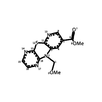 COCN1c2cc(C(=O)OC)cnc2Sc2nccnc21